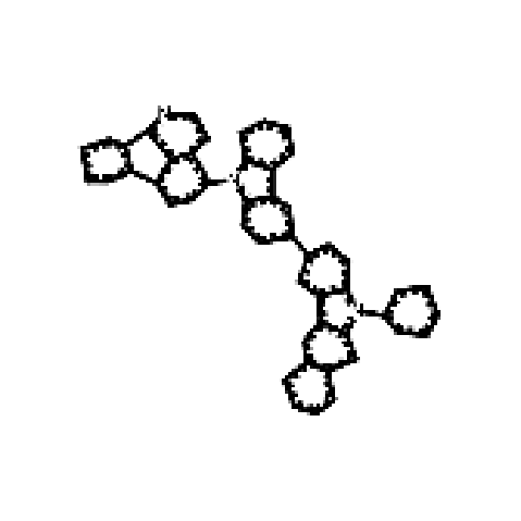 c1ccc(-n2c3ccc(-c4ccc5c(c4)c4ccccc4n5-c4ccc5c6c(nccc46)-c4ccccc4-5)cc3c3cc4ccccc4cc32)cc1